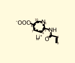 C=CC(=O)Nc1ccc(C(=O)[O-])cn1.[Li+]